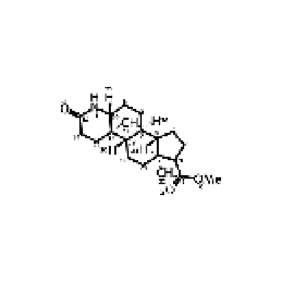 COC(=O)C1CC[C@H]2[C@@H]3CC[C@H]4NC(=O)CC[C@]4(C)[C@H]3CC[C@]12C